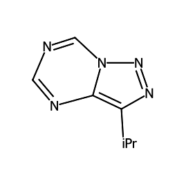 CC(C)c1nnn2cncnc12